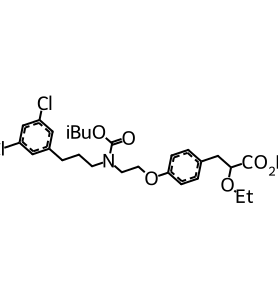 CCOC(Cc1ccc(OCCN(CCCc2cc(Cl)cc(Cl)c2)C(=O)OCC(C)C)cc1)C(=O)O